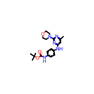 Cc1cc(Nc2ccc(NC(=O)OC(C)(C)C)cc2)nc(N2CCOCC2)n1